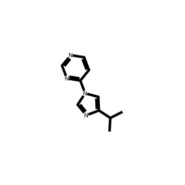 CC(C)c1cn(-c2ccncn2)cn1